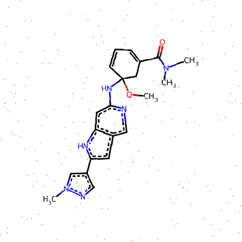 COC1(Nc2cc3[nH]c(-c4cnn(C)c4)cc3cn2)C=CC=C(C(=O)N(C)C)C1